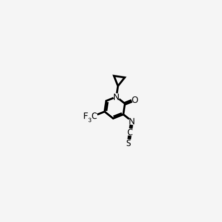 O=c1c(N=C=S)cc(C(F)(F)F)cn1C1CC1